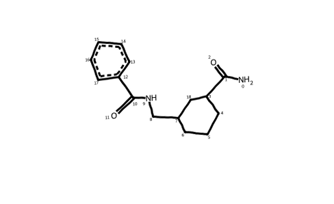 NC(=O)C1CCCC(CNC(=O)c2ccccc2)C1